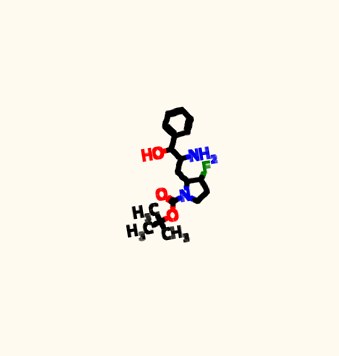 CC(C)(C)OC(=O)N1CCC(F)C1CC(N)C(O)c1ccccc1